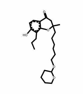 CCCc1c(O)ccc2c1OC(C)(CCCCCCOC1CCCCO1)CC2=O